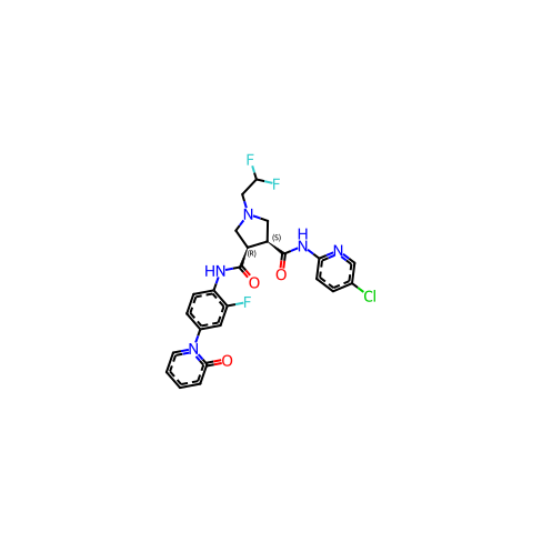 O=C(Nc1ccc(-n2ccccc2=O)cc1F)[C@H]1CN(CC(F)F)C[C@H]1C(=O)Nc1ccc(Cl)cn1